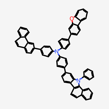 c1ccc(-n2c3cc(-c4ccc(N(c5ccc(-c6ccc7c(c6)oc6ccccc67)cc5)c5ccc(-c6ccc7ccc8ccccc8c7c6)cc5)cc4)ccc3c3ccc4ccccc4c32)cc1